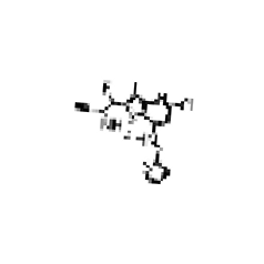 C#C[C@H](N)C(F)c1sc2c(NCc3cccs3)cc(Cl)nc2c1C